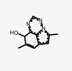 CC1=Cc2cc(C)n3ncnc(c23)C1O